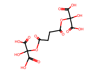 O=C(CCC(=O)OC(O)(C(=O)O)C(=O)O)OC(O)(C(=O)O)C(=O)O